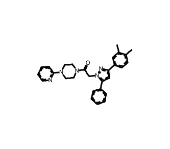 Cc1ccc(-c2cc(-c3ccccc3)n(CC(=O)N3CCN(c4ccccn4)CC3)n2)cc1C